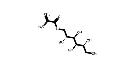 C=C(C)C(=O)OC[C@@H](O)[C@@H](O)[C@H](O)[C@H](O)CO